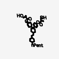 C=C(CO)C(=O)OC1=CCC(C2(c3ccc(OC(=O)C(=C)CO)cc3)CCC(CCC3CCC(CCCCC)CC3)CC2)C=C1